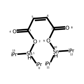 C[CH](C)[SnH]([O]C(=O)/C=C\C(=O)[O][SnH]([CH](C)C)[CH](C)C)[CH](C)C